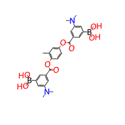 Cc1cc(OC(=O)c2cc(B(O)O)cc(N(C)C)c2)ccc1OC(=O)c1cc(B(O)O)cc(N(C)C)c1